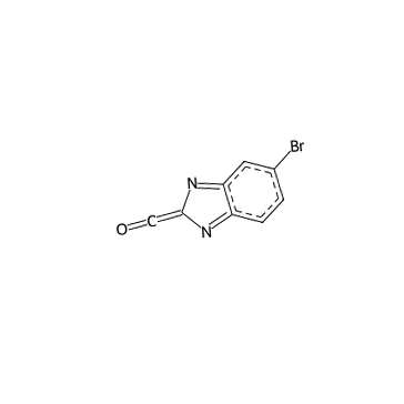 O=C=C1N=c2ccc(Br)cc2=N1